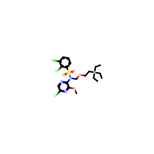 CC[Si](CC)(CC)CCOCN(c1ncc(Cl)nc1OC)S(=O)(=O)c1cccc(Cl)c1Cl